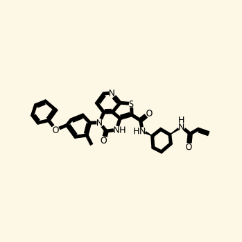 C=CC(=O)N[C@H]1CCC[C@@H](NC(=O)c2sc3nccc4c3c2NC(=O)N4c2ccc(Oc3ccccc3)cc2C)C1